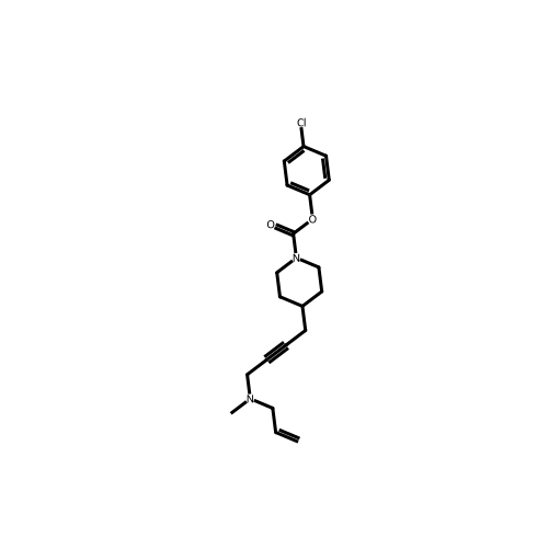 C=CCN(C)CC#CCC1CCN(C(=O)Oc2ccc(Cl)cc2)CC1